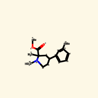 CCCCOC(=O)C1(C)CC(c2cccc(OC)c2)CCN1C(=O)O